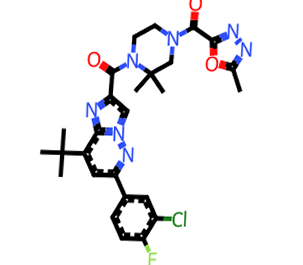 Cc1nnc(C(=O)N2CCN(C(=O)c3cn4nc(-c5ccc(F)c(Cl)c5)cc(C(C)(C)C)c4n3)C(C)(C)C2)o1